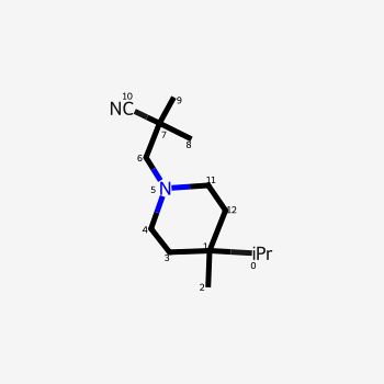 CC(C)C1(C)CCN(CC(C)(C)C#N)CC1